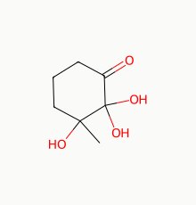 CC1(O)CCCC(=O)C1(O)O